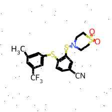 Cc1cc(Sc2ccc(C#N)cc2SN2CCS(=O)(=O)CC2)cc(C(F)(F)F)c1